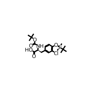 CC(C)(C)OC(=O)N[C@@H](Cc1ccc(O[Si](C)(C)C(C)(C)C)c(Cl)c1)C(=O)O